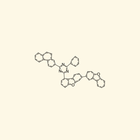 c1ccc(-c2nc(-c3ccc4c(ccc5ccccc54)c3)nc(-c3cccc4oc5cc(-c6ccc7oc8ccccc8c7c6)ccc5c34)n2)cc1